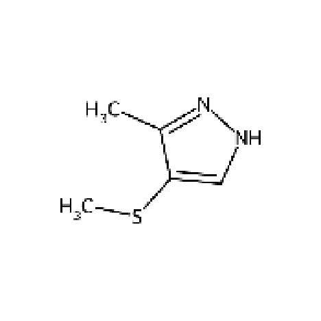 CSc1c[nH]nc1C